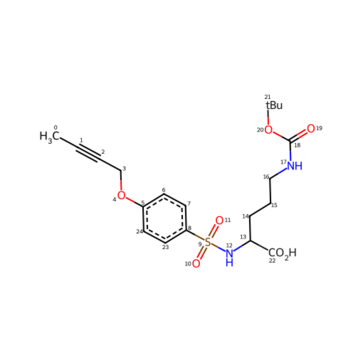 CC#CCOc1ccc(S(=O)(=O)NC(CCCNC(=O)OC(C)(C)C)C(=O)O)cc1